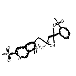 CC(C)(C[C@@](O)(Cc1cc2cc(S(C)(=O)=O)ncc2[nH]1)C(F)(F)F)c1ccccc1S(C)(=O)=O